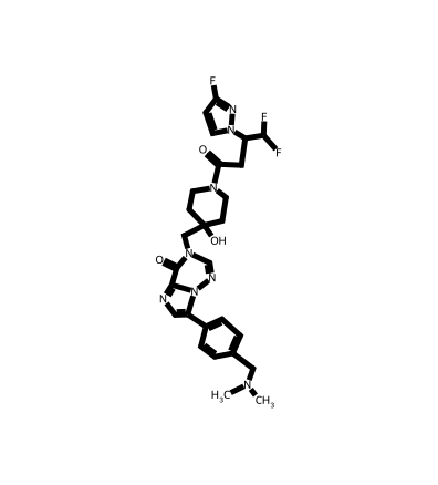 CN(C)Cc1ccc(-c2cnc3c(=O)n(CC4(O)CCN(C(=O)CC(C(F)F)n5ccc(F)n5)CC4)cnn23)cc1